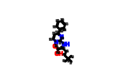 CC(C)(C)CC[C@H](Nc1nccc(-c2ccccc2)n1)C(=O)O